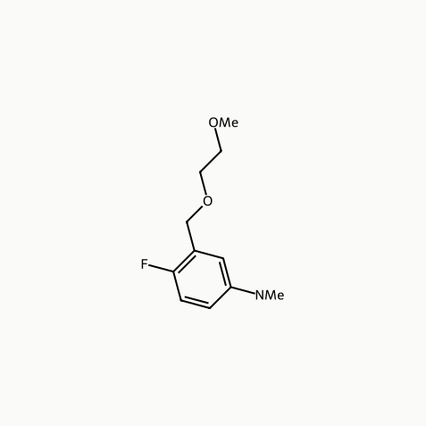 CNc1ccc(F)c(COCCOC)c1